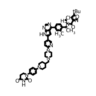 C=[SH]N(C(=O)c1cc(C(C)(C)C)on1)[C@H](C)c1ccc(-c2ncnc3[nH]c(-c4ccc(N5CCN(CC6CCN(c7ccc(N8CCC(=O)NC8=O)cc7)CC6)CC5)nc4)cc23)cc1C